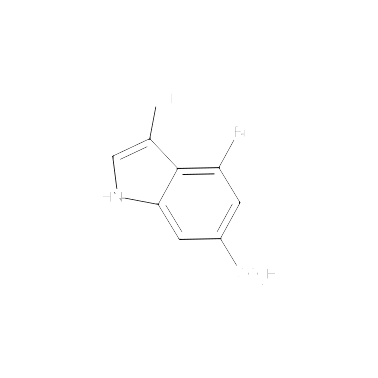 Cc1c[nH]c2cc(C(=O)O)cc(Br)c12